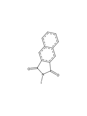 O=C1c2cc3ccccc3cc2C(=O)N1I